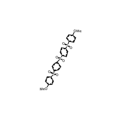 COc1ccc(S(=O)(=O)c2ccc(S(=O)(=O)c3ccc(S(=O)(=O)c4ccc(OC)cc4)cc3)cc2)cc1